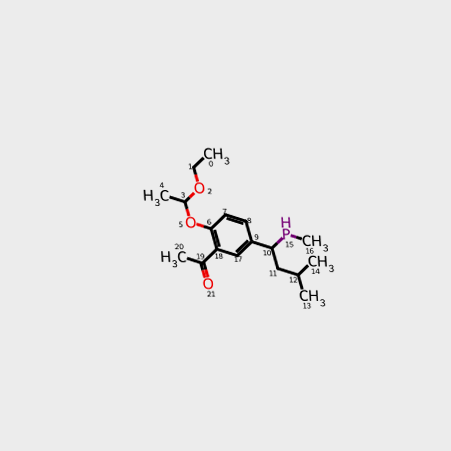 CCOC(C)Oc1ccc(C(CC(C)C)PC)cc1C(C)=O